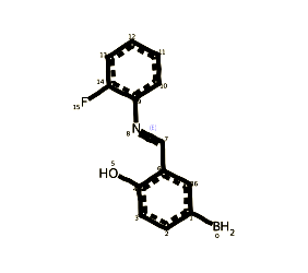 Bc1ccc(O)c(/C=N/c2ccccc2F)c1